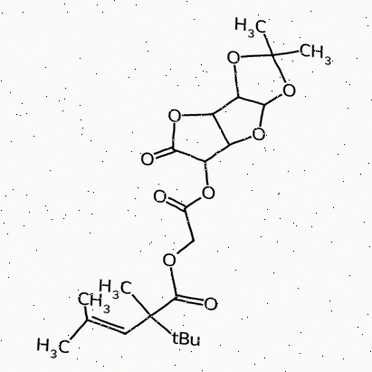 CC(C)=CC(C)(C(=O)OCC(=O)OC1C(=O)OC2C3OC(C)(C)OC3OC12)C(C)(C)C